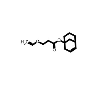 C=COCCC(=O)OC12CC=CC(CCC1)C2